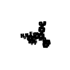 C=CC(=O)N1CCN(c2nc(OCC34CCCN3CCC4)nc3c2COC(c2c(F)c(N)cc(C)c2C(F)(F)F)C3)CC1